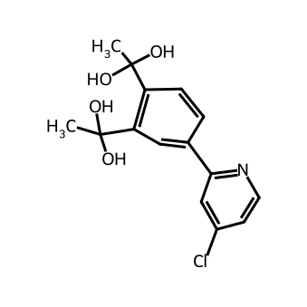 CC(O)(O)c1ccc(-c2cc(Cl)ccn2)cc1C(C)(O)O